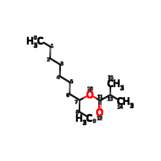 CCCCCCCC(CC)OC(=O)C(C)C